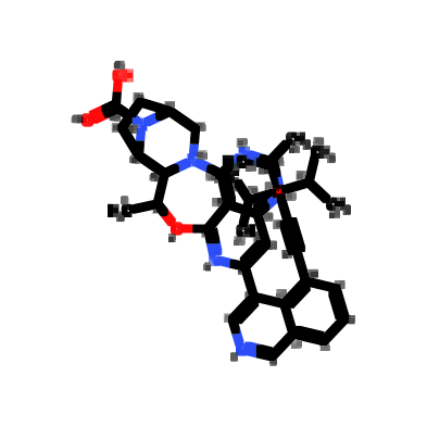 CC1Oc2nc(-c3cncc4cccc(C#C[Si](C(C)C)(C(C)C)C(C)C)c34)cc3ncnc(c23)N2CC3CCC(C12)N3C(=O)O